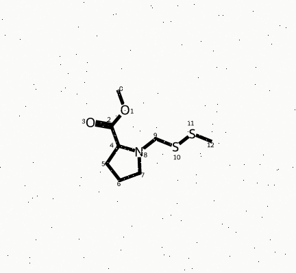 COC(=O)C1CCCN1CSSC